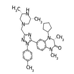 Cc1ccc(-n2nc(CN3C[C@@H](C)N[C@@H](C)C3)nc2-c2ccc3c(c2)N(C2CCCC2)[C@H](C)C(=O)N3C)cc1